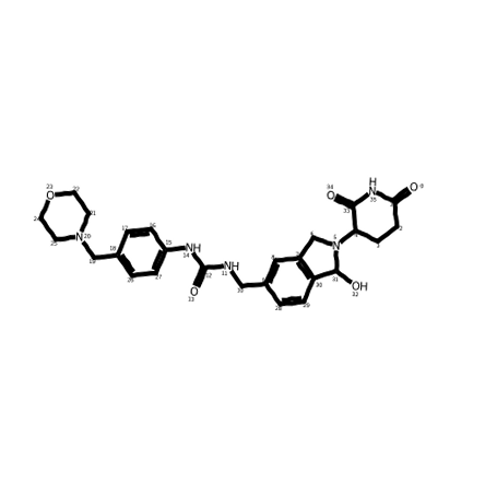 O=C1CCC(N2Cc3cc(CNC(=O)Nc4ccc(CN5CCOCC5)cc4)ccc3C2O)C(=O)N1